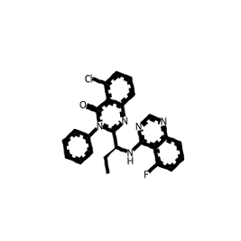 CC[C@H](Nc1ncnc2cccc(F)c12)c1nc2cccc(Cl)c2c(=O)n1-c1ccccc1